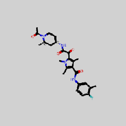 CC(=O)N1CC[C@H](NC(=O)C(=O)c2c(C)c(C(=O)Nc3ccc(F)c(C)c3)c(C)n2C)C[C@H]1C